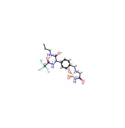 CCCNC(=O)C(NC(=O)C(F)(F)F)c1ccc(CN2CC(=O)NS2(=O)=O)cc1